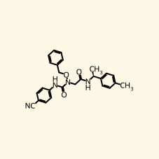 Cc1ccc([C@H](C)NC(=O)CN(OCc2ccccc2)C(=O)Nc2ccc(C#N)cc2)cc1